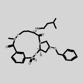 CC(C)CCN[C@H]1CCCN(C)C(=O)c2cccc(c2)S(=O)(=O)C[C@@H]2C[C@H](OCc3ccccc3)CN2C1=O